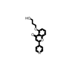 O=c1cc(-c2ccncc2)oc2cccc(OCCCO)c12